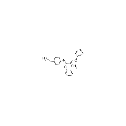 CCc1ccc(N=C(Oc2ccccc2)C(C)=COc2ccccc2)cc1